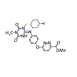 COC(=O)c1ccc(Oc2ccc(/N=c3\[nH]c(=O)n(C)c(=O)n3C[C@H]3CC[C@H](I)CC3)cc2)nn1